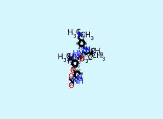 CN(C)Cc1ccc(-n2nc(C(C)(C)C)cc2NC(=O)Nc2ccc(Oc3ccnc4c3OCC(=O)N4)cc2C(C)(I)I)cc1